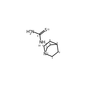 C1CN2CCC1CC2.NC(N)=S